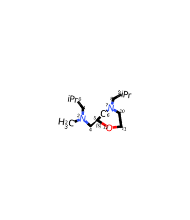 CC(C)CN(C)C[C@H]1CN(CC(C)C)CCO1